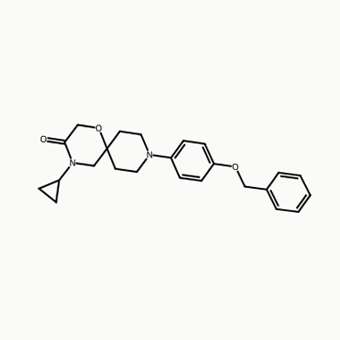 O=C1COC2(CCN(c3ccc(OCc4ccccc4)cc3)CC2)CN1C1CC1